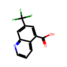 O=C(O)c1cc(C(F)(F)F)cc2ncccc12